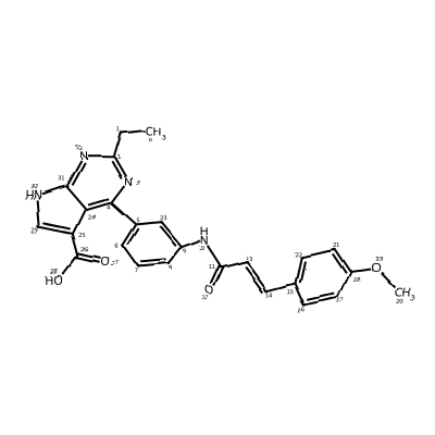 CCc1nc(-c2cccc(NC(=O)/C=C/c3ccc(OC)cc3)c2)c2c(C(=O)O)c[nH]c2n1